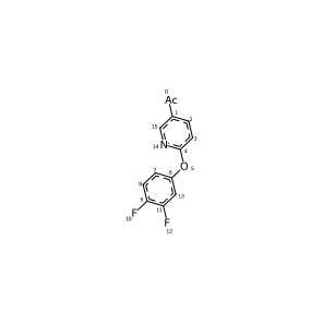 CC(=O)c1ccc(Oc2ccc(F)c(F)c2)nc1